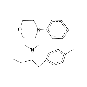 CCC(Cc1ccc(C)cc1)N(C)C.c1ccc(N2CCOCC2)cc1